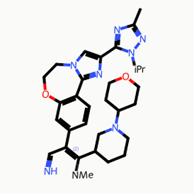 CN/C(=C(\C=N)c1ccc2c(c1)OCCn1cc(-c3nc(C)nn3C(C)C)nc1-2)C1CCCN(C2CCOCC2)C1